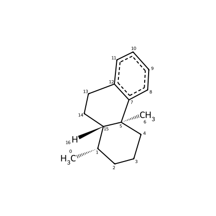 C[C@H]1CCC[C@]2(C)c3ccccc3CC[C@@H]12